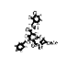 CCN1C(=O)c2c(OCc3ccccc3)c(=O)c(C(=O)NCc3cccc(Cl)c3F)cn2C[C@]12C[C@H](OC)C2